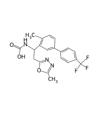 Cc1nnc(CC(NC(=O)O)c2cc(-c3ccc(C(F)(F)F)cc3)ccc2C)o1